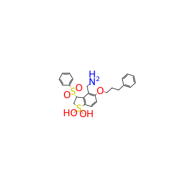 NCc1c(OCCCc2ccccc2)ccc2c1C(S(=O)(=O)c1ccccc1)CS2(O)O